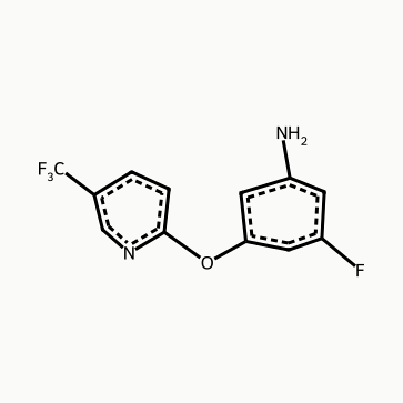 Nc1cc(F)cc(Oc2ccc(C(F)(F)F)cn2)c1